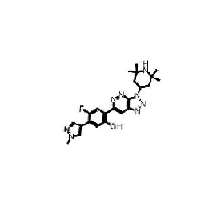 Cn1cc(-c2cc(O)c(-c3cc4nnn(C5CC(C)(C)NC(C)(C)C5)c4nn3)cc2F)cn1